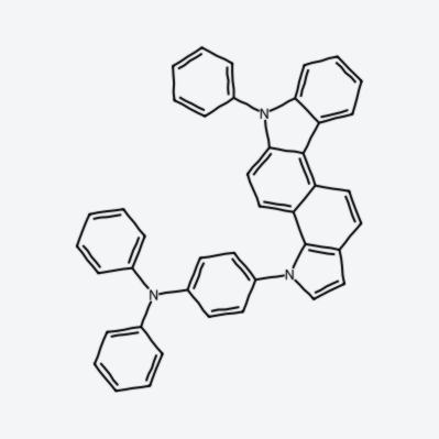 c1ccc(N(c2ccccc2)c2ccc(-n3ccc4ccc5c(ccc6c5c5ccccc5n6-c5ccccc5)c43)cc2)cc1